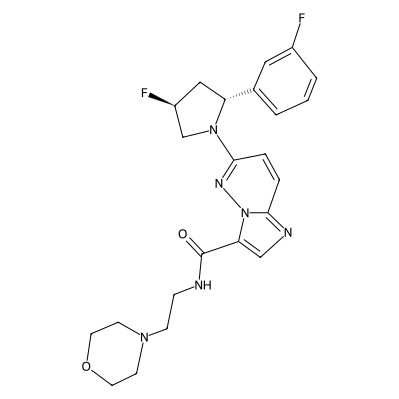 O=C(NCCN1CCOCC1)c1cnc2ccc(N3C[C@@H](F)C[C@@H]3c3cccc(F)c3)nn12